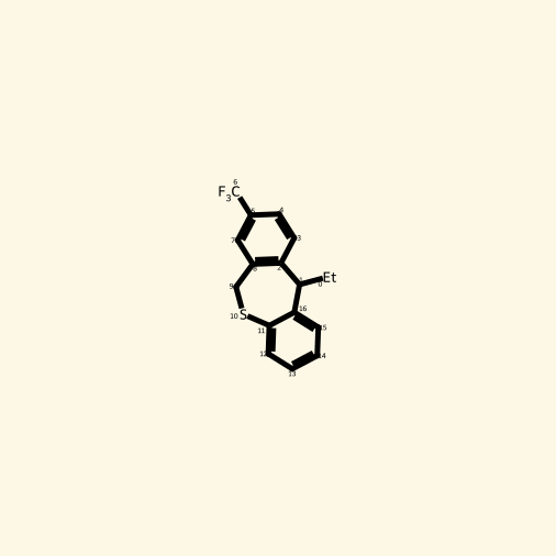 CCC1c2ccc(C(F)(F)F)cc2CSc2ccccc21